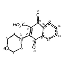 O=C(O)C1=C(N2CCOCC2)C(=O)c2ccccc2C1=O